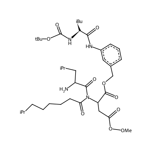 CC[C@H](C)[C@H](NC(=O)OC(C)(C)C)C(=O)Nc1cccc(COC(=O)C(CC(=O)OOC)N(C(=O)CCCCCC(C)C)C(=O)C(N)CC(C)C)c1